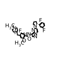 COc1cc(CN2CCN(C)CC2)c(F)cc1C(=O)Nc1cnn2ccc(N3CCC[C@@H]3c3cc(F)ccc3F)nc12